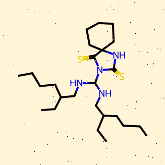 CCCCC(CC)CNC(NCC(CC)CCCC)N1C(=S)NC2(CCCCC2)C1=S